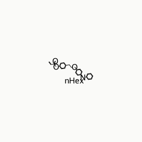 C=CC(=O)Oc1ccc(CCOc2ccc(N(CCCCCC)c3ccccc3)cc2)cc1